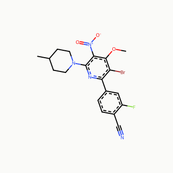 COc1c(Br)c(-c2ccc(C#N)c(F)c2)nc(N2CCC(C)CC2)c1[N+](=O)[O-]